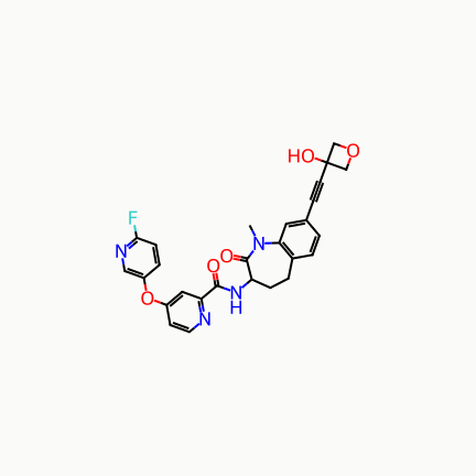 CN1C(=O)C(NC(=O)c2cc(Oc3ccc(F)nc3)ccn2)CCc2ccc(C#CC3(O)COC3)cc21